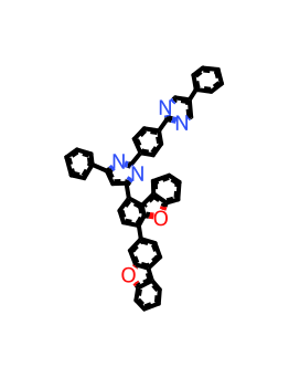 c1ccc(-c2cnc(-c3ccc(-c4nc(-c5ccccc5)cc(-c5ccc(-c6ccc7c(c6)oc6ccccc67)c6oc7ccccc7c56)n4)cc3)nc2)cc1